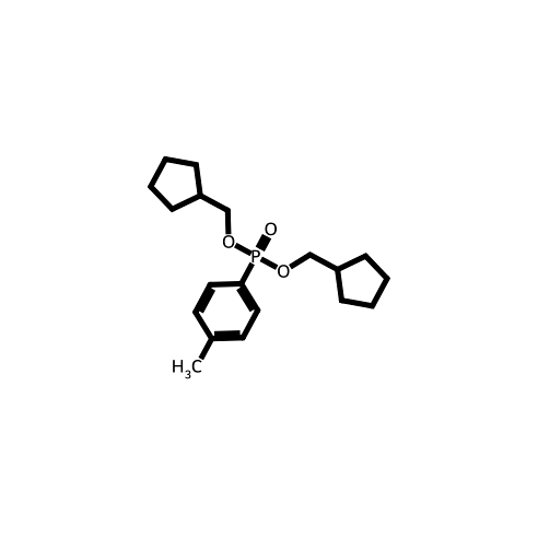 Cc1ccc(P(=O)(OCC2CCCC2)OCC2CCCC2)cc1